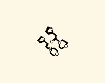 C(=CN1CCOCC1)c1cccs1.O=C(Cc1cccs1)N1CCOCC1